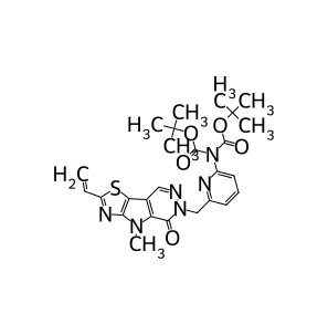 C=Cc1nc2c(s1)c1cnn(Cc3cccc(N(C(=O)OC(C)(C)C)C(=O)OC(C)(C)C)n3)c(=O)c1n2C